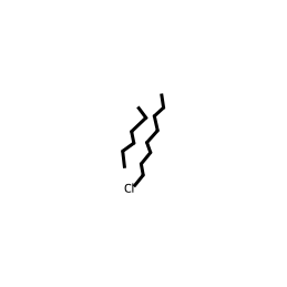 CCCCCC.CCCCCCCCCl